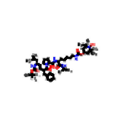 CC(C)C[C@@H](/C=C/[C@H](Cc1ccccc1)C(=O)N1CCC[C@H]1C(O)N[C@@H](CCCCCNC(=O)OC1CC(C)(C)N(O)C(C)(C)C1)C(=O)NC(C)C)NC(=O)OC(C)(C)C